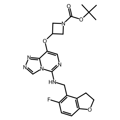 CC(C)(C)OC(=O)N1CC(Oc2cnc(NCc3c(F)ccc4c3CCO4)n3cnnc23)C1